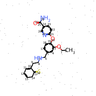 CCOc1cc(CNCCC2=CC=CCC2=S)ccc1Oc1ccc(C(N)=O)cn1